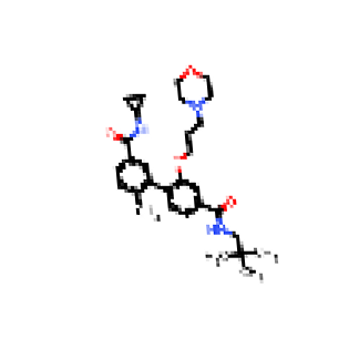 Cc1ccc(C(=O)NC2CC2)cc1-c1ccc(C(=O)NCC(C)(C)C)cc1OCCCN1CCOCC1